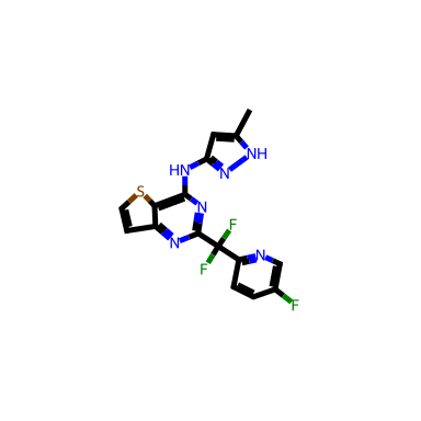 Cc1cc(Nc2nc(C(F)(F)c3ccc(F)cn3)nc3ccsc23)n[nH]1